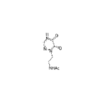 CC(=O)NCCn1n[c][nH]c(=O)c1=O